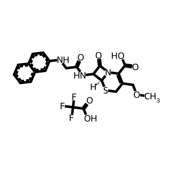 COCC1=C(C(=O)O)N2C(=O)C(NC(=O)CNc3ccc4ccccc4c3)[C@@H]2SC1.O=C(O)C(F)(F)F